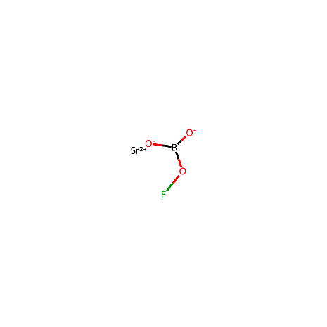 [O-]B([O-])OF.[Sr+2]